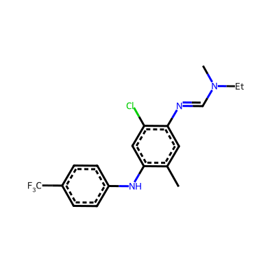 CCN(C)C=Nc1cc(C)c(Nc2ccc(C(F)(F)F)cc2)cc1Cl